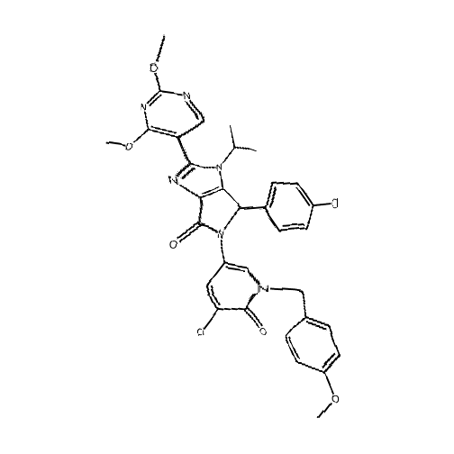 COc1ccc(Cn2cc(N3C(=O)c4nc(-c5cnc(OC)nc5OC)n(C(C)C)c4C3c3ccc(Cl)cc3)cc(Cl)c2=O)cc1